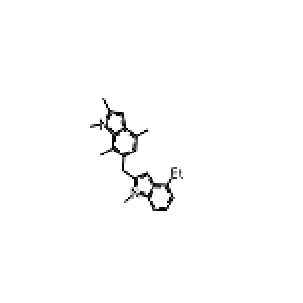 CCc1cccc2c1cc(Cc1cc(C)c3cc(C)n(C)c3c1C)n2C